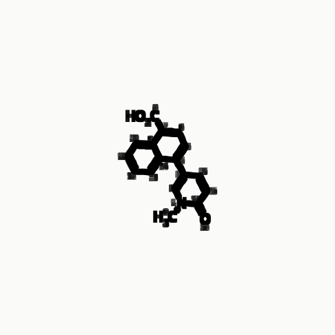 Cn1cc(-c2ccc(C(=O)O)c3ccccc23)ccc1=O